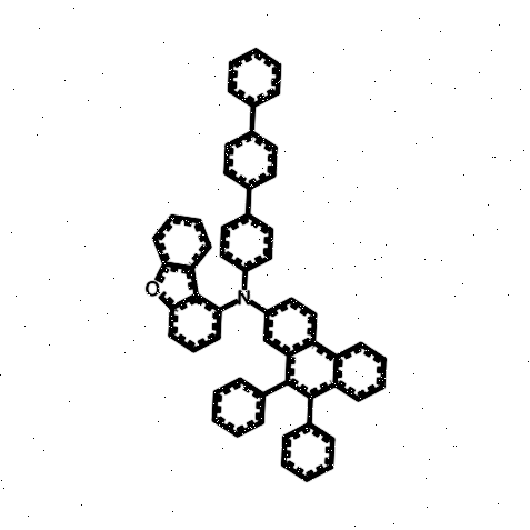 c1ccc(-c2ccc(-c3ccc(N(c4ccc5c(c4)c(-c4ccccc4)c(-c4ccccc4)c4ccccc45)c4cccc5oc6ccccc6c45)cc3)cc2)cc1